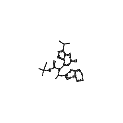 CC(C)c1cnn2c(N(C(=O)OC(C)(C)C)C(C)c3cn4ccccc4n3)cc(Cl)nc12